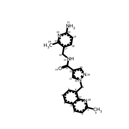 Cc1ccc2cccc(Cn3cc(C(=O)NCc4ccc(N)nc4C)cn3)c2n1